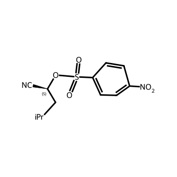 CC(C)C[C@@H](C#N)OS(=O)(=O)c1ccc([N+](=O)[O-])cc1